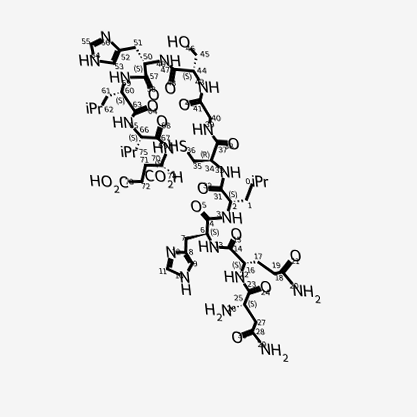 CC(C)C[C@H](NC(=O)[C@H](Cc1c[nH]cn1)NC(=O)[C@H](CCC(N)=O)NC(=O)[C@@H](N)CC(N)=O)C(=O)N[C@@H](CS)C(=O)NCC(=O)N[C@@H](CO)C(=O)N[C@@H](Cc1c[nH]cn1)C(=O)N[C@@H](CC(C)C)C(=O)N[C@H](C(=O)N[C@@H](CCC(=O)O)C(=O)O)C(C)C